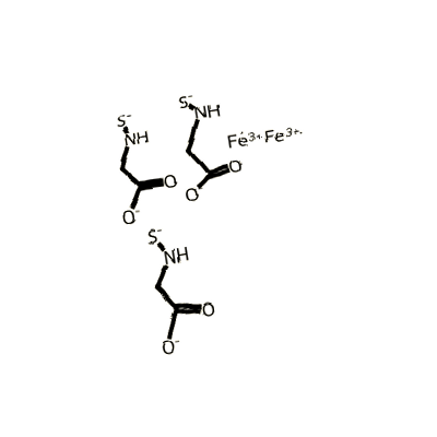 O=C([O-])CN[S-].O=C([O-])CN[S-].O=C([O-])CN[S-].[Fe+3].[Fe+3]